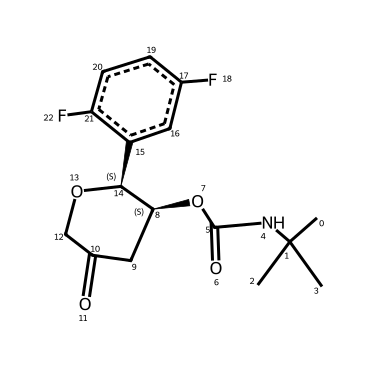 CC(C)(C)NC(=O)O[C@H]1CC(=O)CO[C@H]1c1cc(F)ccc1F